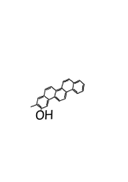 Cc1cc2ccc3c(ccc4c5ccccc5ccc43)c2cc1O